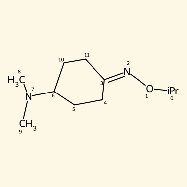 CC(C)ON=C1CCC(N(C)C)CC1